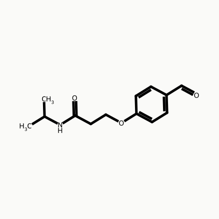 CC(C)NC(=O)CCOc1ccc(C=O)cc1